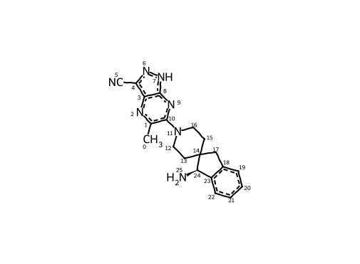 Cc1nc2c(C#N)n[nH]c2nc1N1CCC2(CC1)Cc1ccccc1[C@H]2N